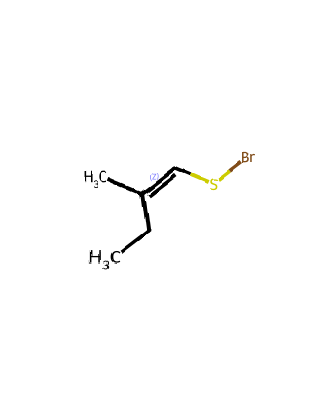 CC/C(C)=C\SBr